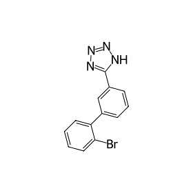 Brc1ccccc1-c1cccc(-c2nnn[nH]2)c1